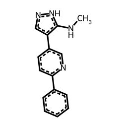 CNc1[nH]ncc1-c1ccc(-c2ccccc2)nc1